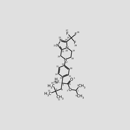 CC(C)OC(=O)[C@@](N)(CC(C)(C)C)c1ccc(N2CCn3c(nnc3C(F)(F)F)C2)cc1